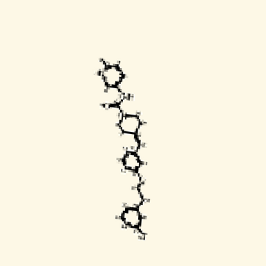 Cc1ccc(NC(=O)N2CCC(=Cc3cccc(OCCc4cccc(F)c4)c3)CC2)cn1